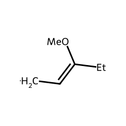 [CH2]C=C(CC)OC